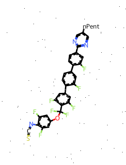 CCCCCc1cnc(-c2ccc(-c3ccc(-c4cc(F)c(C(F)(F)Oc5cc(F)c(N=C=S)c(F)c5)c(F)c4)c(F)c3)c(F)c2)nc1